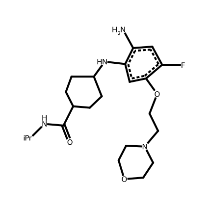 CC(C)NC(=O)C1CCC(Nc2cc(OCCN3CCOCC3)c(F)cc2N)CC1